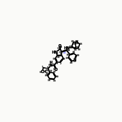 CC[C@@H](NC(=O)c1ccc2c(c1)NC(=O)/C2=C(\NC1CN2CCC1CC2)c1ccncc1)c1ccccc1